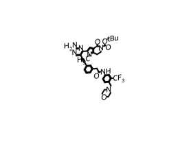 Cn1c(-c2nc(N)ncc2C#Cc2cccc(CC(=O)Nc3ccc(CN4CCOCC4)c(C(F)(F)F)c3)c2)cc2c1CCN(C(=O)OC(C)(C)C)C2=O